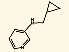 [c]1ccc(NCC2CC2)cn1